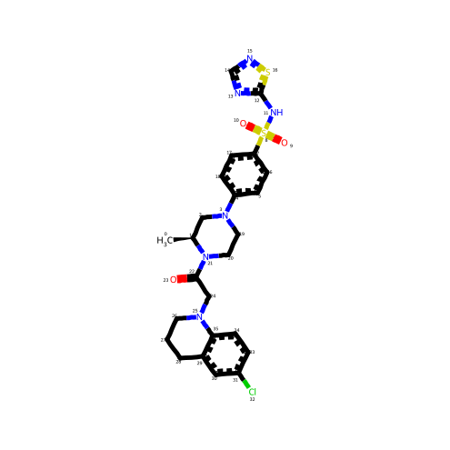 C[C@H]1CN(c2ccc(S(=O)(=O)Nc3ncns3)cc2)CCN1C(=O)CN1CCCc2cc(Cl)ccc21